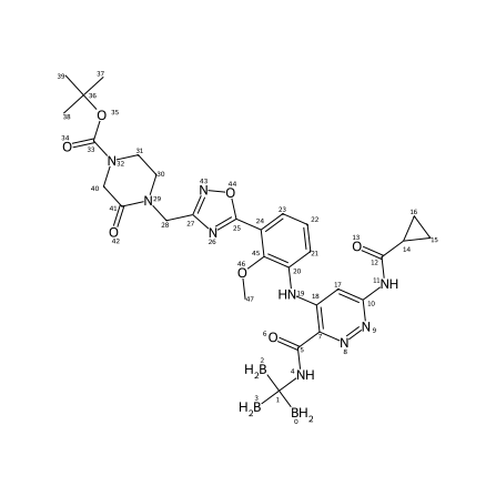 BC(B)(B)NC(=O)c1nnc(NC(=O)C2CC2)cc1Nc1cccc(-c2nc(CN3CCN(C(=O)OC(C)(C)C)CC3=O)no2)c1OC